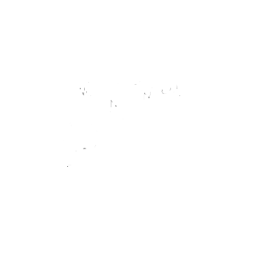 CC1(C)CN(C(C#N)c2ccc(F)cc2)CCN1C(=O)O